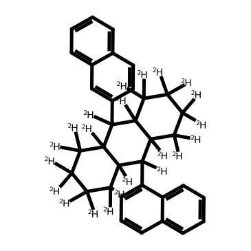 [2H]C1([2H])C([2H])([2H])C([2H])([2H])C2([2H])C([2H])(c3cccc4ccccc34)C3([2H])C([2H])([2H])C([2H])([2H])C([2H])([2H])C([2H])([2H])C3([2H])C([2H])(c3ccc4ccccc4c3)C2([2H])C1([2H])[2H]